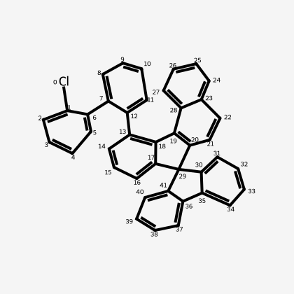 Clc1ccccc1-c1ccccc1-c1cccc2c1-c1c(ccc3ccccc13)C21c2ccccc2-c2ccccc21